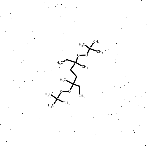 CCC(C)(CCC(C)(CC)OOC(C)(C)C)OOC(C)(C)C